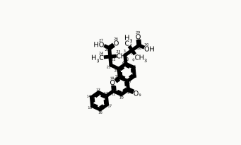 CC(C)(Cc1ccc2c(=O)cc(-c3ccccc3)oc2c1CC(C)(C)C(=O)O)C(=O)O